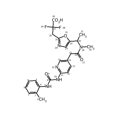 Cc1ccccc1NC(=O)Nc1ccc(CC(=O)N(C)C(C)c2cnc(CC(F)(F)C(=O)O)o2)cn1